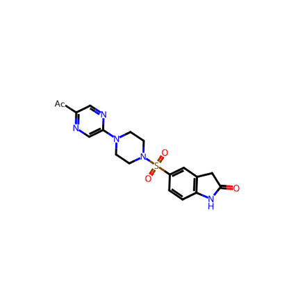 CC(=O)c1cnc(N2CCN(S(=O)(=O)c3ccc4c(c3)CC(=O)N4)CC2)cn1